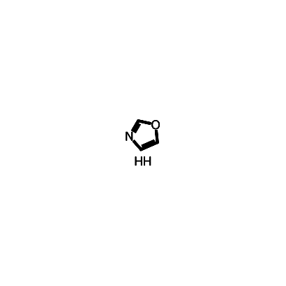 [HH].c1cocn1